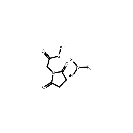 CC(=O)SC(=O)CN1C(=O)CCC1=O.CCN(C(C)C)C(C)C